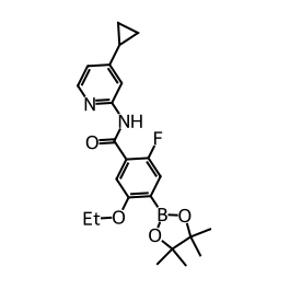 CCOc1cc(C(=O)Nc2cc(C3CC3)ccn2)c(F)cc1B1OC(C)(C)C(C)(C)O1